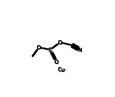 COS(=O)OC#N.[Cu]